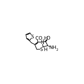 N[C@@H]1C(=O)N2C(C(=O)O)=C(Cc3cccs3)CS[C@H]12